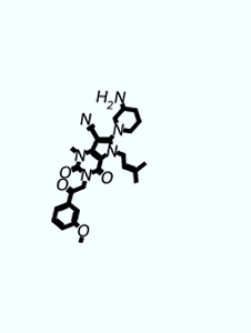 COc1cccc(C(=O)Cn2c(=O)c3c(c(C#N)c(N4CCCC(N)C4)n3CC=C(C)C)n(C)c2=O)c1